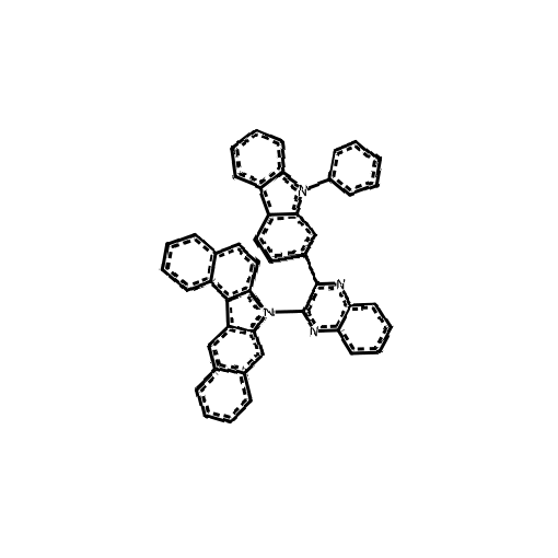 c1ccc(-n2c3ccccc3c3ccc(-c4nc5ccccc5nc4-n4c5cc6ccccc6cc5c5c6ccccc6ccc54)cc32)cc1